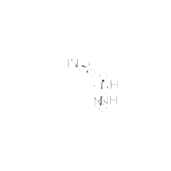 O=C(CCc1nc2ccccc2[nH]1)Nc1cccc(-c2ccc3c(c2)COC2(CCNCC2)O3)c1